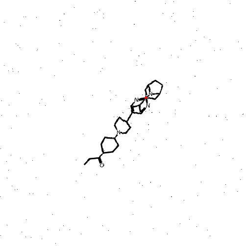 CCC(=O)[C@H]1CC[C@@H](N2CCC(c3cnc(N4C5CCC4CN(C(C)C)C5)nc3)CC2)CC1